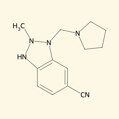 CN1Nc2ccc(C#N)cc2N1CN1CCCC1